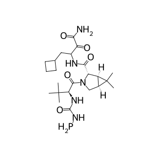 CC(C)(C)[C@H](NC(=O)NP)C(=O)N1C[C@H]2[C@@H]([C@H]1C(=O)NC(CC1CCC1)C(=O)C(N)=O)C2(C)C